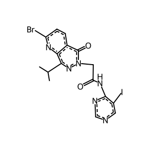 CC(C)c1nn(CC(=O)Nc2ncncc2I)c(=O)c2ccc(Br)nc12